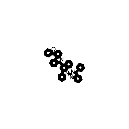 c1ccc(-c2nc(-n3c4ccccc4c4cc(-c5nc6ccc7oc8ccccc8c7c6c6ccccc56)c5ccccc5c43)nc3ccccc23)cc1